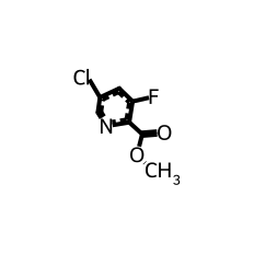 COC(=O)c1ncc(Cl)cc1F